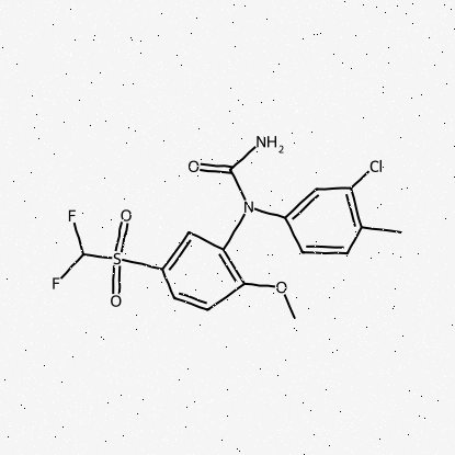 COc1ccc(S(=O)(=O)C(F)F)cc1N(C(N)=O)c1ccc(C)c(Cl)c1